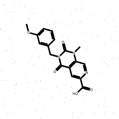 COc1cccc(Cn2c(=O)c3cc(C(=O)O)ncc3n(C)c2=O)c1